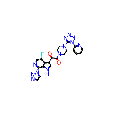 O=C(C(=O)N1CCN(c2nnnn2-c2ccccn2)CC1)c1c[nH]c2c(-n3ccnn3)ncc(F)c12